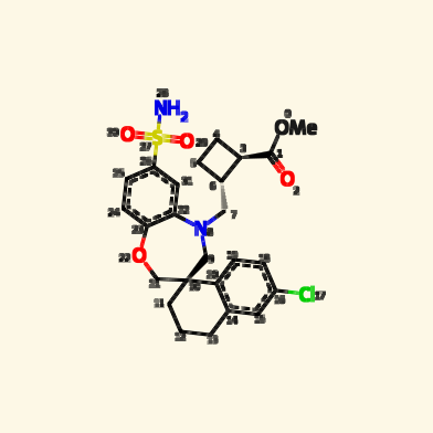 COC(=O)[C@@H]1CC[C@H]1CN1C[C@@]2(CCCc3cc(Cl)ccc32)COc2ccc(S(N)(=O)=O)cc21